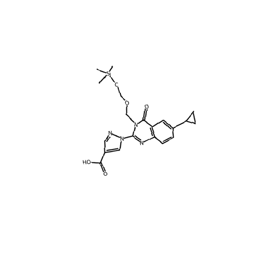 C[Si](C)(C)CCOCn1c(-n2cc(C(=O)O)cn2)nc2ccc(C3CC3)cc2c1=O